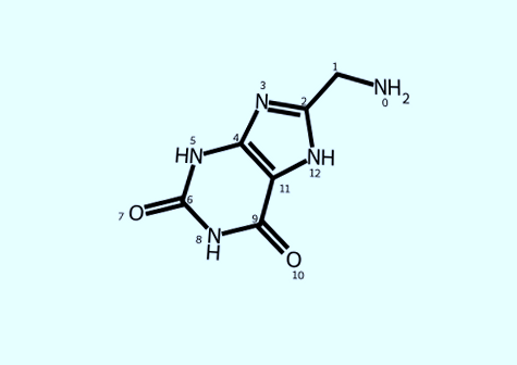 NCc1nc2[nH]c(=O)[nH]c(=O)c2[nH]1